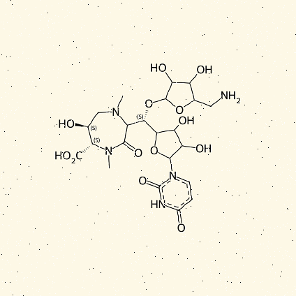 CN1C[C@H](O)[C@@H](C(=O)O)N(C)C(=O)C1[C@H](OC1OC(CN)C(O)C1O)C1OC(n2ccc(=O)[nH]c2=O)C(O)C1O